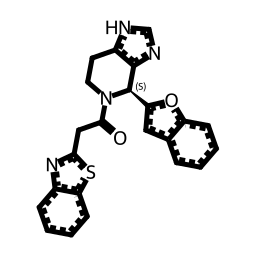 O=C(Cc1nc2ccccc2s1)N1CCc2[nH]cnc2[C@H]1c1cc2ccccc2o1